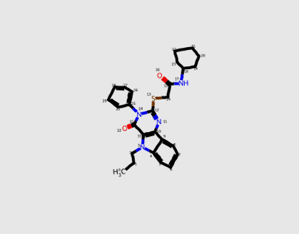 CCCn1c2ccccc2c2nc(SCC(=O)NC3CCCCC3)n(-c3ccccc3)c(=O)c21